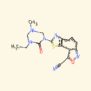 CCN1CN(C)CN(c2nc3ccc4noc(C#N)c4c3s2)C1=O